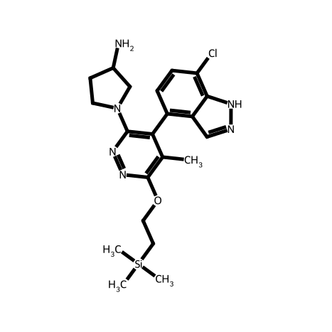 Cc1c(OCC[Si](C)(C)C)nnc(N2CCC(N)C2)c1-c1ccc(Cl)c2[nH]ncc12